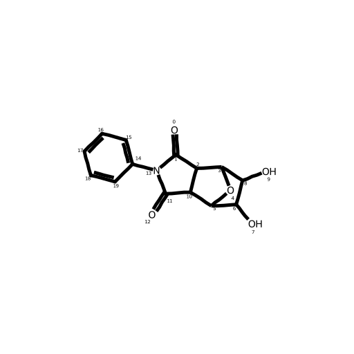 O=C1C2C3OC(C(O)C3O)C2C(=O)N1c1ccccc1